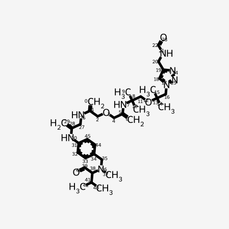 C=C(COCC(=C)NC(C)(C)COC(C)(C)Cn1cc(CNC=O)nn1)NCC(=C)Nc1ccc(CN(C)C(C=O)C(C)C)cc1